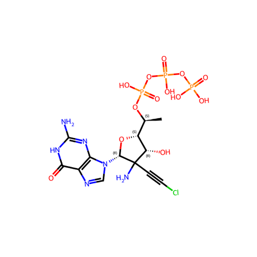 C[C@H](OP(=O)(O)OP(=O)(O)OP(=O)(O)O)[C@H]1O[C@@H](n2cnc3c(=O)[nH]c(N)nc32)C(N)(C#CCl)[C@H]1O